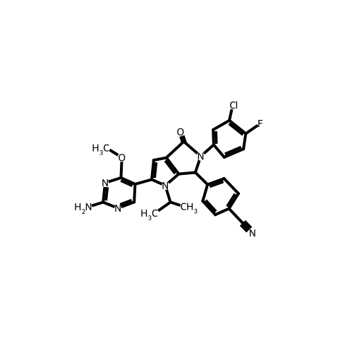 COc1nc(N)ncc1-c1cc2c(n1C(C)C)C(c1ccc(C#N)cc1)N(c1ccc(F)c(Cl)c1)C2=O